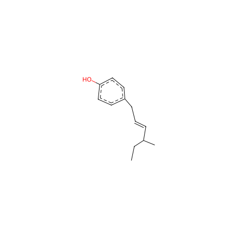 CCC(C)C=CCc1ccc(O)cc1